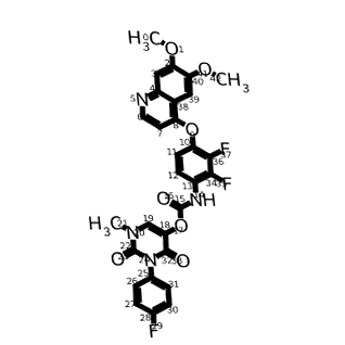 COc1cc2nccc(Oc3ccc(NC(=O)Oc4cn(C)c(=O)n(-c5ccc(F)cc5)c4=O)c(F)c3F)c2cc1OC